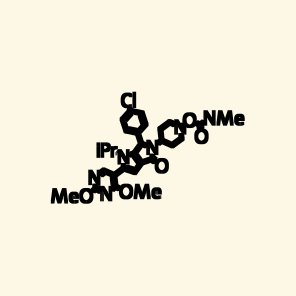 CNC(=O)ON1CCC(N2C(=O)c3cc(-c4cnc(OC)nc4OC)n(C(C)C)c3C2c2ccc(Cl)cc2)CC1